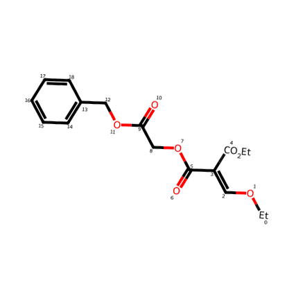 CCO/C=C(\C(=O)OCC)C(=O)OCC(=O)OCc1ccccc1